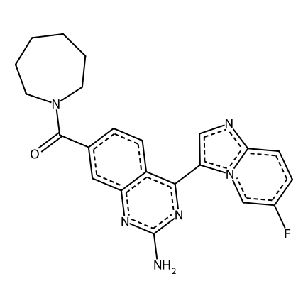 Nc1nc(-c2cnc3ccc(F)cn23)c2ccc(C(=O)N3CCCCCC3)cc2n1